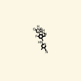 Cc1cc(NCc2cc(F)c(N3CC(=O)NS3(=O)=O)c3[nH]ncc23)ncc1C#N